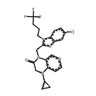 O=C1CN(C2CC2)c2ccncc2N1Cc1nc2cc(Cl)ccc2n1CCCC(F)(F)F